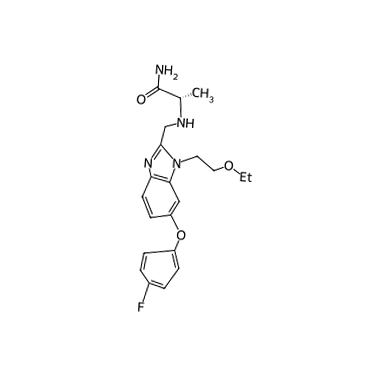 CCOCCn1c(CN[C@@H](C)C(N)=O)nc2ccc(Oc3ccc(F)cc3)cc21